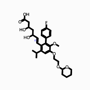 COc1c(OCCOC2CCCCO2)cc(C(C)C)c(/C=C/C(O)CC(O)CC(=O)O)c1-c1ccc(F)cc1